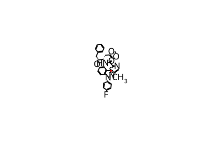 Cc1cnc(C(=O)N[C@@H](CC2=COCO2)[C@H](Cc2ccccc2)Oc2ccc3c(cnn3-c3ccc(F)cc3)c2)s1